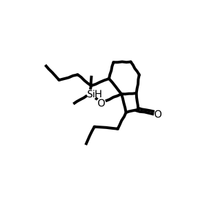 CCCCC1CCCC2C(=O)C(CCC)C12O[SiH](C)C